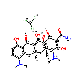 CN(C)c1ccc(O)c2c1C[C@H]1C[C@H]3[C@H](N(C)C)C(O)=C(C(N)=O)C(=O)[C@@]3(O)C(O)=C1C2=O.ClC(Cl)Cl